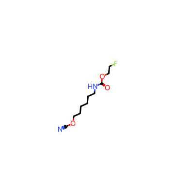 N#COCCCCCCNC(=O)OCCF